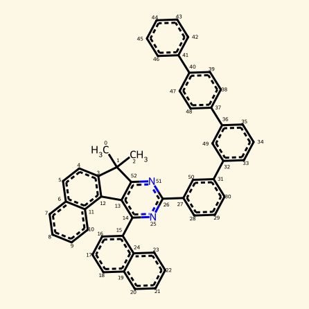 CC1(C)c2ccc3ccccc3c2-c2c(-c3cccc4ccccc34)nc(-c3cccc(-c4cccc(-c5ccc(-c6ccccc6)cc5)c4)c3)nc21